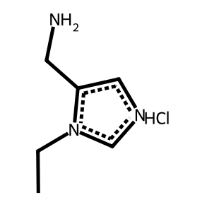 CCn1cncc1CN.Cl